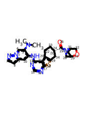 CN(C)c1cn2nccc2cc1Nc1ncnc2sc3c(c12)CC[C@H](C(=O)N1CC2CC1CO2)C3